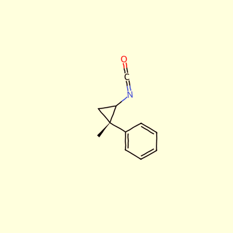 C[C@@]1(c2ccccc2)CC1N=C=O